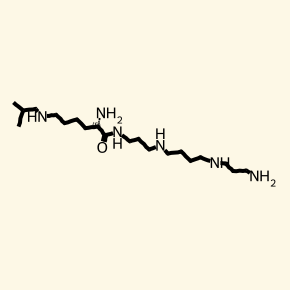 CC(C)CNCCCC[C@H](N)C(=O)NCCCNCCCCNCCCN